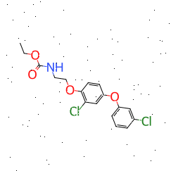 CCOC(=O)NCCOc1ccc(Oc2cccc(Cl)c2)cc1Cl